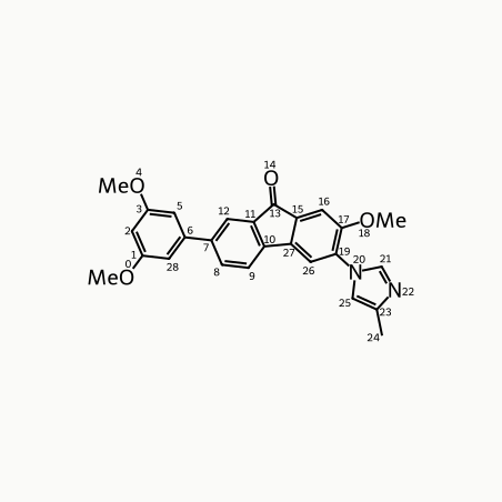 COc1cc(OC)cc(-c2ccc3c(c2)C(=O)c2cc(OC)c(-n4cnc(C)c4)cc2-3)c1